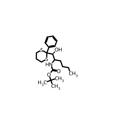 CCCCC(NC(=O)OC(C)(C)C)[C@H](O)C1(c2ccccc2)SCCCS1